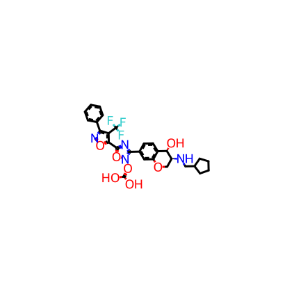 O=C(O)O.O[C@@H]1c2ccc(-c3noc(-c4onc(-c5ccccc5)c4C(F)(F)F)n3)cc2OC[C@@H]1NCC1CCCC1